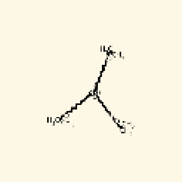 C=C(C)COCCCCCCCCCCOP(=O)(OCCCCCCCCCCOCC(=C)C)OCCCCCCCCCCOCC(=C)C